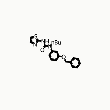 CCCCN(C(=O)Nc1nccs1)c1cccc(OCc2ccccc2)c1